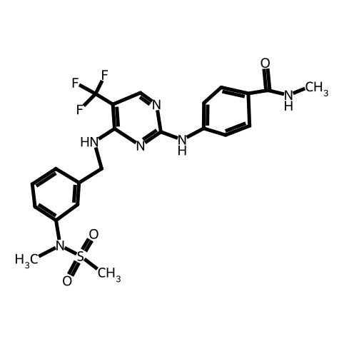 CNC(=O)c1ccc(Nc2ncc(C(F)(F)F)c(NCc3cccc(N(C)S(C)(=O)=O)c3)n2)cc1